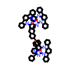 c1ccc(-c2nc(-c3ccccc3)nc(-n3c4ccccc4c4ccc5c6ccccc6n(-c6cc7ccccc7c7cc(-c8ccc9ccc(-c%10nc(-n%11c%12ccccc%12c%12ccc%13c%14ccccc%14n(-c%14ccccc%14)c%13c%12%11)nc(-n%11c%12ccccc%12c%12ccc%13c%14ccccc%14n(-c%14ccccc%14)c%13c%12%11)n%10)cc9c8)ccc67)c5c43)n2)cc1